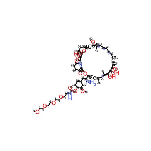 COCCOCCOCCOCCNC(=O)O[C@@H]1CCC(C[C@@H](N)[C@@H]2CC[C@H](C)/C=C(\C)[C@@H](O)[C@@H](O)C(=O)[C@H](C)C[C@H](C)/C=C/C=C/C=C(\C)[C@@H](OC)C[C@@H]3CC[C@@H](C)[C@@](O)(O3)C(=O)C(=O)N3CCCC[C@H]3C(=O)O2)C[C@H]1OC